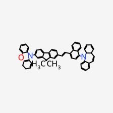 CC1(C)c2cc(/C=C/c3ccc(N4c5ccccc5C=CC5C=CC=CC54)c4ccccc34)ccc2-c2ccc(N3C4=C(CCC=C4)Oc4ccccc43)cc21